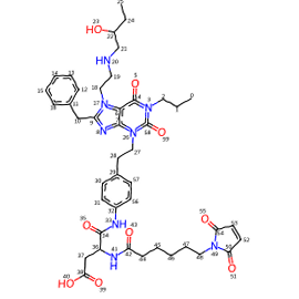 CCCn1c(=O)c2c(nc(Cc3ccccc3)n2CCNCC(O)CC)n(CCc2ccc(NC(=O)C(CC(=O)O)NC(=O)CCCCCN3C(=O)C=CC3=O)cc2)c1=O